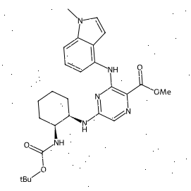 COC(=O)c1ncc(N[C@@H]2CCCC[C@@H]2NC(=O)OC(C)(C)C)nc1Nc1cccc2c1ccn2C